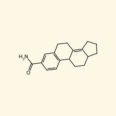 NC(=O)c1ccc2c(c1)CCC1=C3CCCC3CCC12